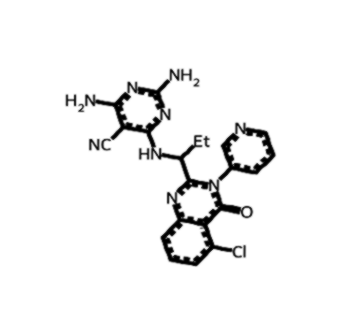 CCC(Nc1nc(N)nc(N)c1C#N)c1nc2cccc(Cl)c2c(=O)n1-c1cccnc1